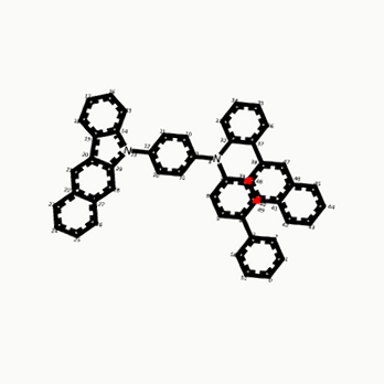 c1ccc(-c2ccc(N(c3ccc(-n4c5ccccc5c5cc6ccccc6cc54)cc3)c3ccccc3-c3ccc4ccccc4c3)cc2)cc1